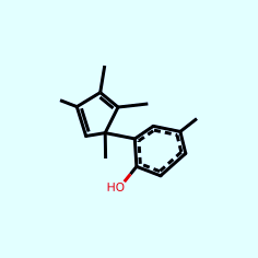 CC1=CC(C)(c2cc(C)ccc2O)C(C)=C1C